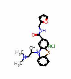 CC(CN(C)C)N1c2ccccc2Sc2ccc(C(=O)NCc3ccco3)cc21.Cl